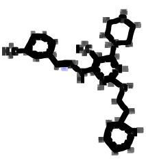 Cc1cccc(/C=N/Nc2nc(OCCc3ccccn3)nc(N3CCOCC3)c2C)c1